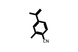 C=C(C)c1ccc(C#N)c(C)c1